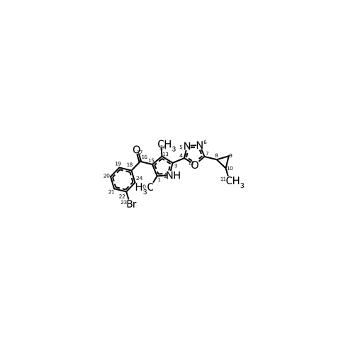 Cc1[nH]c(-c2nnc(C3CC3C)o2)c(C)c1C(=O)c1cccc(Br)c1